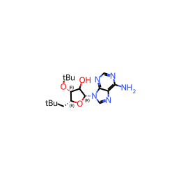 CC(C)(C)C[C@H]1O[C@@H](n2cnc3c(N)ncnc32)C(O)[C@H]1OC(C)(C)C